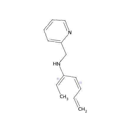 C=C/C=C\C(=C/C)NCc1ccccn1